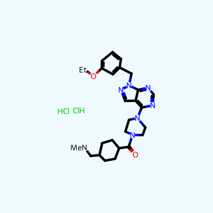 CCOc1cccc(Cn2ncc3c(N4CCN(C(=O)C5CCC(CNC)CC5)CC4)ncnc32)c1.Cl.Cl